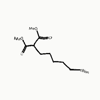 CCCCCCCCCCCCCCC(C(=O)OC)C(=O)OC